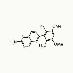 CCc1c(OC)cc(OC)c(C)c1-c1ccc2nc(N)ncc2c1